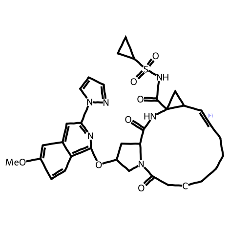 COc1ccc2c(OC3CC4C(=O)NC5(C(=O)NS(=O)(=O)C6CC6)CC5/C=C/CCCCCCC(=O)N4C3)nc(-n3cccn3)cc2c1